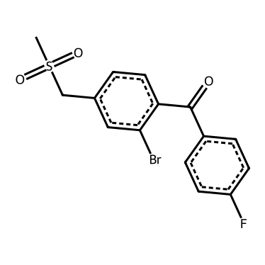 CS(=O)(=O)Cc1ccc(C(=O)c2ccc(F)cc2)c(Br)c1